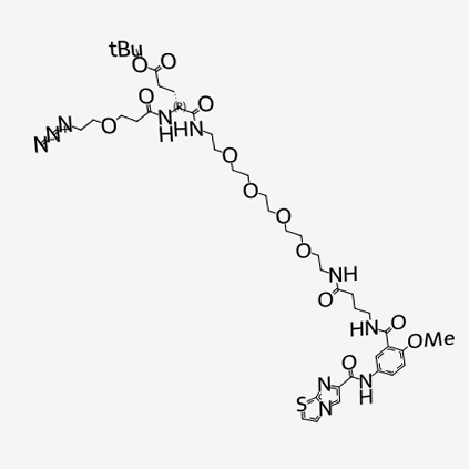 COc1ccc(NC(=O)c2cn3ccsc3n2)cc1C(=O)NCCCC(=O)NCCOCCOCCOCCOCCNC(=O)[C@@H](CCC(=O)OC(C)(C)C)NC(=O)CCOCCN=[N+]=[N-]